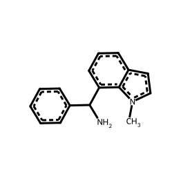 Cn1ccc2cccc(C(N)c3ccccc3)c21